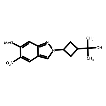 [CH2]C(C)(O)C1CC(n2cc3cc([N+](=O)[O-])c(OC)cc3n2)C1